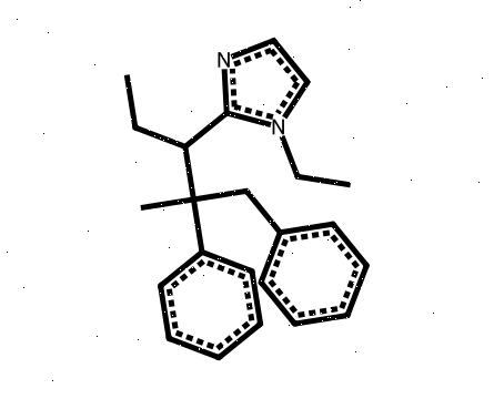 CCC(c1nccn1CC)C(C)(Cc1ccccc1)c1ccccc1